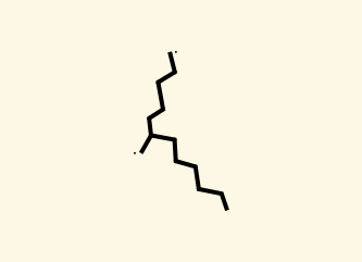 [CH2]CCCCC([CH2])CCCCCC